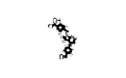 O=Cc1ccc(-c2ccnc3c2ccn3Cc2ccc(C(=O)O)cc2)cc1